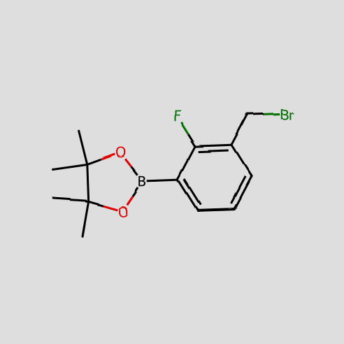 CC1(C)OB(c2cccc(CBr)c2F)OC1(C)C